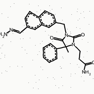 CC1(c2ccccc2)C(=O)N(Cc2ccc3ccc(C=NN)cc3c2)C(=O)N1CCC(N)=O